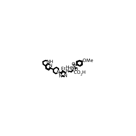 CCc1c(NC[C@H](NS(=O)(=O)c2ccc(OC)cc2)C(=O)O)ncnc1N1CCC(c2ccc3c(n2)NCCC3)CC1